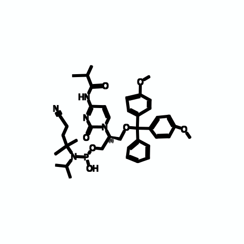 COc1ccc(C(OC[C@@H](COP(O)N(C(C)C)C(C)(C)CCC#N)n2ccc(NC(=O)C(C)C)nc2=O)(c2ccccc2)c2ccc(OC)cc2)cc1